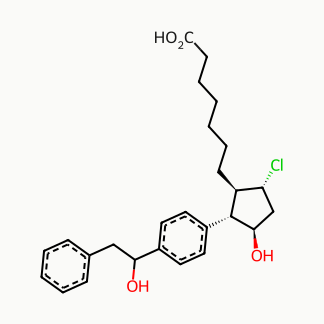 O=C(O)CCCCCC[C@@H]1[C@@H](c2ccc(C(O)Cc3ccccc3)cc2)[C@H](O)C[C@H]1Cl